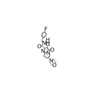 O=C(NCc1ccc(F)cc1)c1nc2ccc(N3CCOCC3)cn2c(=O)c1O